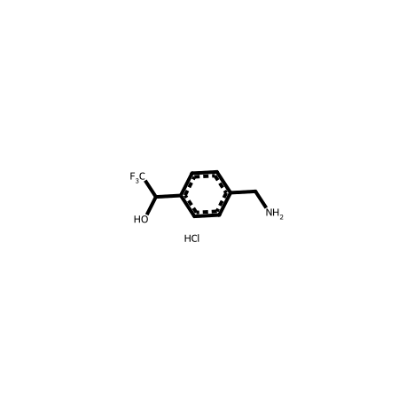 Cl.NCc1ccc(C(O)C(F)(F)F)cc1